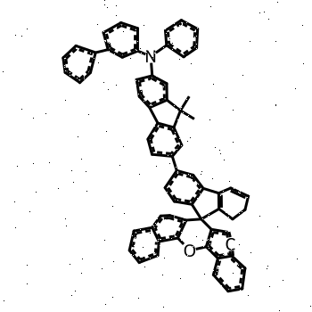 CC1(C)c2cc(-c3ccc4c(c3)C3=C(CCC=C3)C43c4ccc5ccccc5c4Oc4c3ccc3ccccc43)ccc2-c2ccc(N(c3ccccc3)c3cccc(-c4ccccc4)c3)cc21